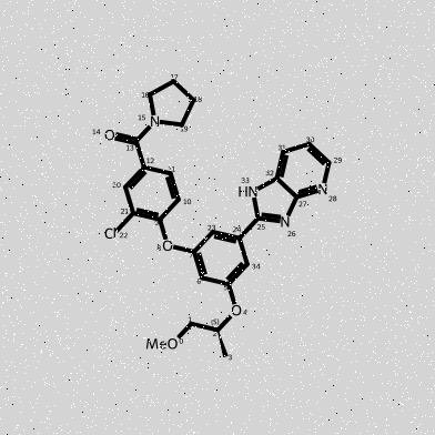 COC[C@H](C)Oc1cc(Oc2ccc(C(=O)N3CCCC3)cc2Cl)cc(-c2nc3ncccc3[nH]2)c1